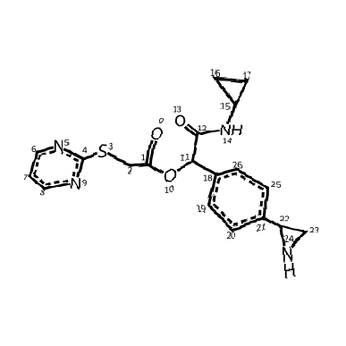 O=C(CSc1ncccn1)OC(C(=O)NC1CC1)c1ccc(C2CN2)cc1